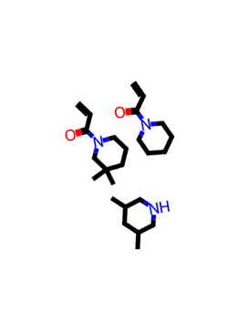 C=CC(=O)N1CCCC(C)(C)C1.C=CC(=O)N1CCCCC1.CC1CNCC(C)C1